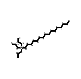 CCCCCCCCCCCCCCCC[N+](CCC)(CCC)CCC